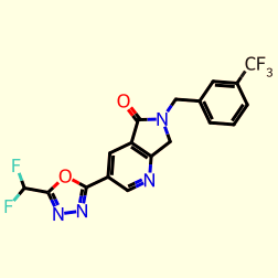 O=C1c2cc(-c3nnc(C(F)F)o3)cnc2CN1Cc1cccc(C(F)(F)F)c1